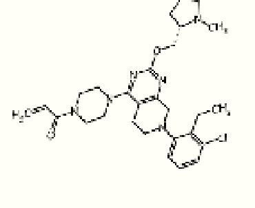 C=CC(=O)N1CCN(c2nc(OC[C@@H]3CCCN3C)nc3c2CCN(c2cccc(Cl)c2CC)C3)CC1